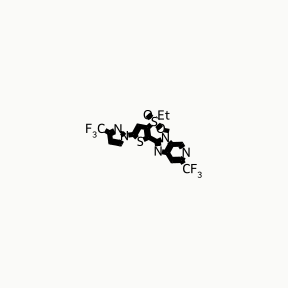 CCS(=O)(=O)c1cc(-n2ccc(C(F)(F)F)n2)sc1-c1nc2cc(C(F)(F)F)ncc2n1C